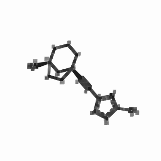 Cc1nc(C#C[C@@]23CCC[C@@](N)(CC2)C3)cs1